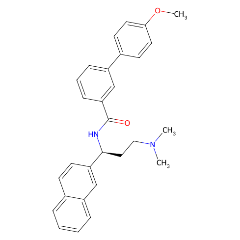 COc1ccc(-c2cccc(C(=O)N[C@@H](CCN(C)C)c3ccc4ccccc4c3)c2)cc1